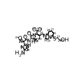 CO/N=C(\C(=O)N[C@@H]1C(=O)N2C(C(=O)[O-])=C(Cn3cc[n+]4c(SCCO)cccc34)CS[C@@H]12)c1nsc(N)n1